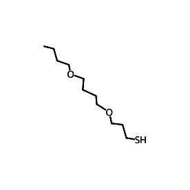 CCCCOCCCCOCCCS